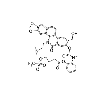 CN(C)CCn1c(=O)c2cc(OC(=O)N(C)c3ccccc3OC(=O)CCCOS(=O)(=O)C(F)(F)F)c(CO)cc2c2ccc3cc4c(cc3c21)OCO4